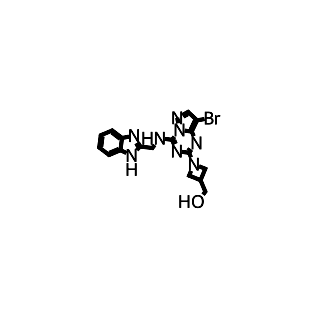 OCC1CN(c2nc(NCc3nc4ccccc4[nH]3)n3ncc(Br)c3n2)C1